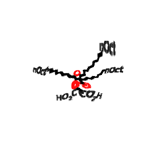 CCCCCCCCC=CCCCCCCCC(=O)C(CCCCCCC=CCCCCCCCC)(C(=O)CCCCCCCC=CCCCCCCCC)C(=O)OC(CC(=O)O)C(=O)O